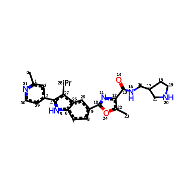 Cc1cc(-c2[nH]c3ccc(-c4nc(C(=O)NCC5CCNC5)c(C)o4)cc3c2C(C)C)ccn1